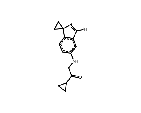 [2H]C1=NC2(CC2)c2ccc(NCC(=O)C3CC3)cc21